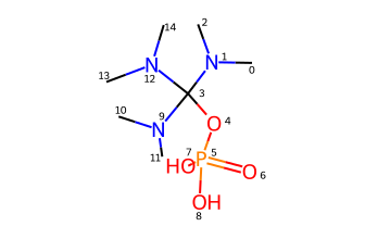 CN(C)C(OP(=O)(O)O)(N(C)C)N(C)C